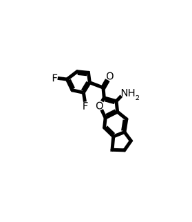 Nc1c(C(=O)c2ccc(F)cc2F)oc2cc3c(cc12)CCC3